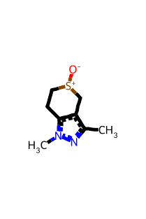 Cc1nn(C)c2c1C[S+]([O-])CC2